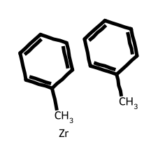 Cc1ccccc1.Cc1ccccc1.[Zr]